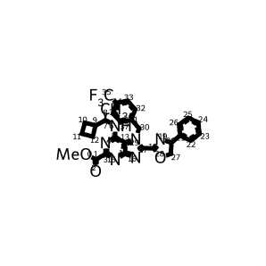 COC(=O)c1nc(N[C@H](C)C2CCC2)c2c(n1)nc(C1=NC(c3ccccc3)CO1)n2Cc1ccc(C(F)(F)F)cc1